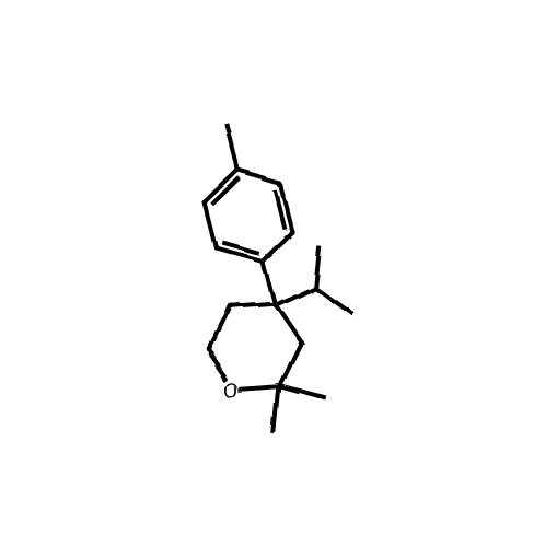 Cc1ccc(C2(C(C)C)CCOC(C)(C)C2)cc1